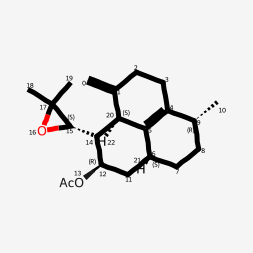 C=C1CCC2=C3[C@@H](CC[C@H]2C)C[C@@H](OC(C)=O)C([C@@H]2OC2(C)C)[C@@H]13